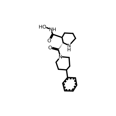 O=C(NO)C1CCCN[C@@H]1C(=O)N1CCC(c2ccccc2)CC1